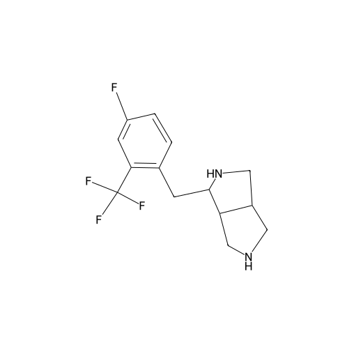 Fc1ccc(CC2NCC3CNCC32)c(C(F)(F)F)c1